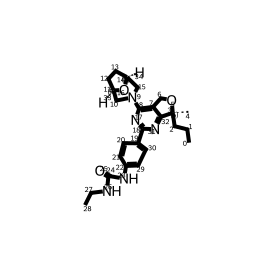 CCC[C@]1(C)OCc2c(N3C[C@H]4CC[C@@H](C3)O4)nc(-c3ccc(NC(=O)NCC)cc3)nc21